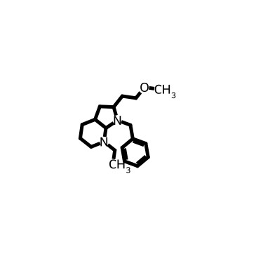 CCN1CCCC2CC(CCOC)N(Cc3ccccc3)C21